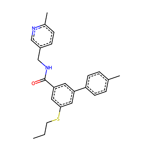 CCCSc1cc(C(=O)NCc2ccc(C)nc2)cc(-c2ccc(C)cc2)c1